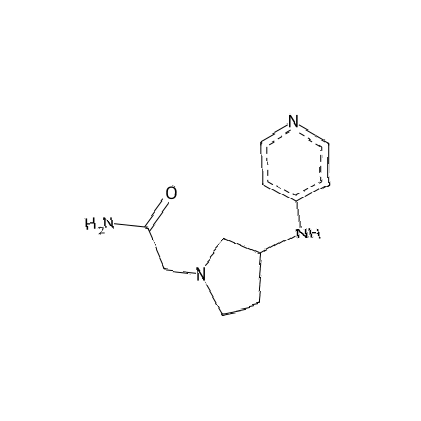 NC(=O)CN1CCC(Nc2ccncc2)C1